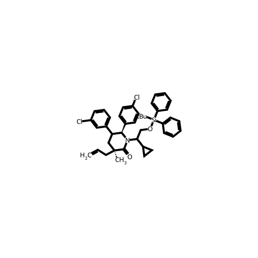 C=CC[C@@]1(C)CC(c2cccc(Cl)c2)[C@@H](c2ccc(Cl)cc2)N(C(CO[Si](c2ccccc2)(c2ccccc2)C(C)(C)C)C2CC2)C1=O